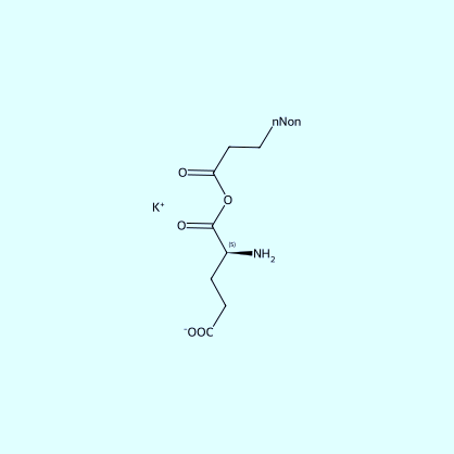 CCCCCCCCCCCC(=O)OC(=O)[C@@H](N)CCC(=O)[O-].[K+]